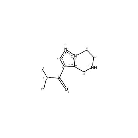 CN(C)C(=O)c1cnn2c1CNCC2